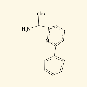 CCCCC(N)c1cccc(-c2ccccc2)n1